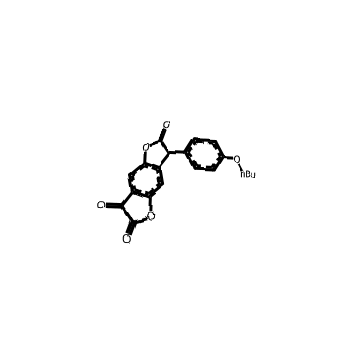 CCCCOc1ccc(C2C(=O)Oc3cc4c(cc32)OC(=O)C4=O)cc1